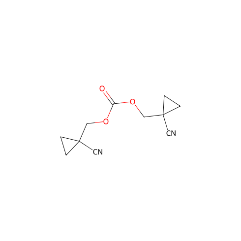 N#CC1(COC(=O)OCC2(C#N)CC2)CC1